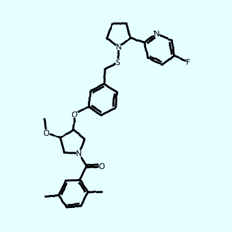 COC1CN(C(=O)c2cc(C)ccc2C)CC1Oc1cccc(CSN2CCCC2c2ccc(F)cn2)c1